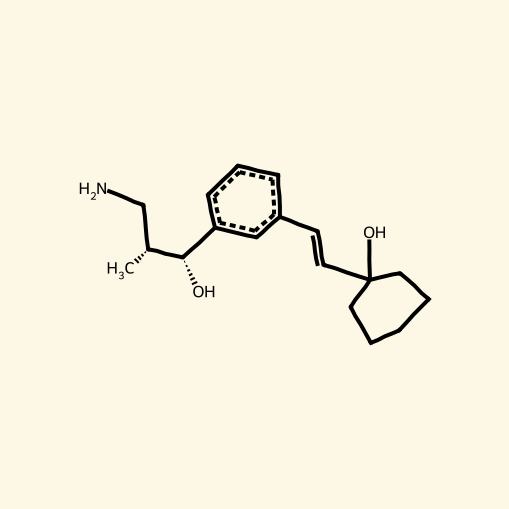 C[C@H](CN)[C@@H](O)c1cccc(C=CC2(O)CCCCC2)c1